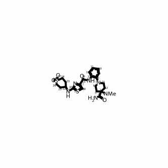 CNC1(C(N)=O)CCN(c2ccccc2NC(=O)c2csc(NC3CCS(=O)(=O)CC3)n2)CC1